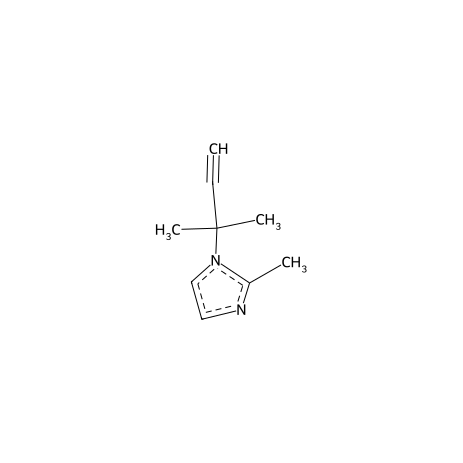 C#CC(C)(C)n1ccnc1C